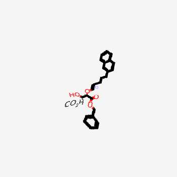 O=C(O)[C@H](O)[C@@H](O/C=C/CCCc1ccc2ccccc2c1)C(=O)OCc1ccccc1